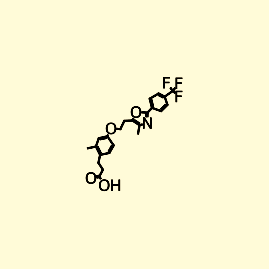 Cc1cc(OCCc2oc(-c3ccc(C(F)(F)F)cc3)nc2C)ccc1CCC(=O)O